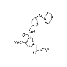 CC[C@@H](Cc1ccc(OC)c(C(=O)NCc2ccc(Oc3ccccc3)cc2)c1)C(=O)O